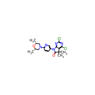 C[C@@H]1CN(c2ccc(N3C(=O)C(C)(C)c4c(Cl)nc(Cl)nc43)cn2)C[C@H](C)O1